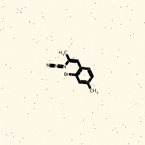 C/C(=C/c1ccc(C)cc1Br)N=[N+]=[N-]